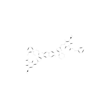 CC1=C(C#N)C(=O)N(C(=O)OCc2ccccc2)C(=O)/C1=C\c1nc2c(s1)C1=CC3C=C4OC5(CCCCC5)c5nc(CC6C(=O)N(C(=O)OCc7ccccc7)C(=O)C(C#N)=C6C)sc5C4=CC3C=C1OC21CCCCC1